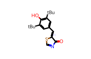 CC(C)(C)c1cc(/C=C2\SC=NC2=O)cc(C(C)(C)C)c1O